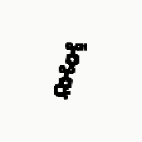 CC1(C)CCCc2cc(C(=O)Oc3ccc(C(=O)O)cc3)ccc21